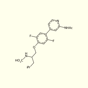 CC(=O)Nc1cc(-c2cc(F)c(OCC(CC(C)C)NC(=O)O)cc2F)ccn1